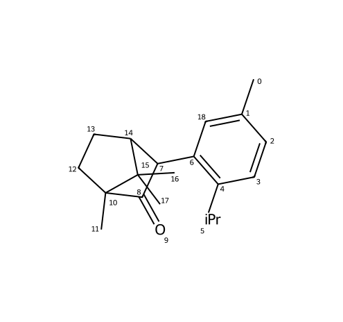 Cc1ccc(C(C)C)c(C2C(=O)C3(C)CCC2C3(C)C)c1